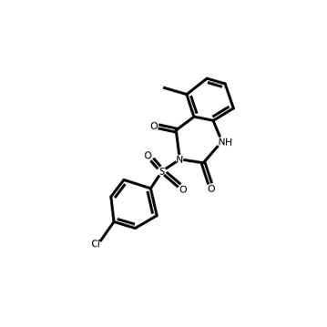 Cc1cccc2[nH]c(=O)n(S(=O)(=O)c3ccc(Cl)cc3)c(=O)c12